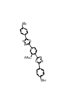 COc1cc(-c2nnc(-c3ccc(C(C)(C)C)cc3)o2)ccc1-c1nnc(-c2ccc(C(C)(C)C)cc2)o1